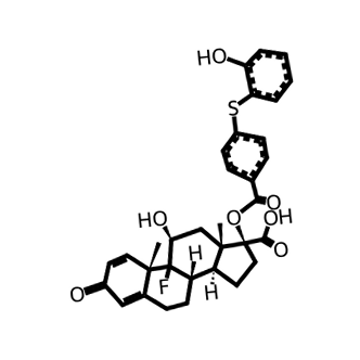 C[C@]12C=CC(=O)C=C1CC[C@H]1[C@@H]3CC[C@@](OC(=O)c4ccc(Sc5ccccc5O)cc4)(C(=O)O)[C@@]3(C)C[C@H](O)C12F